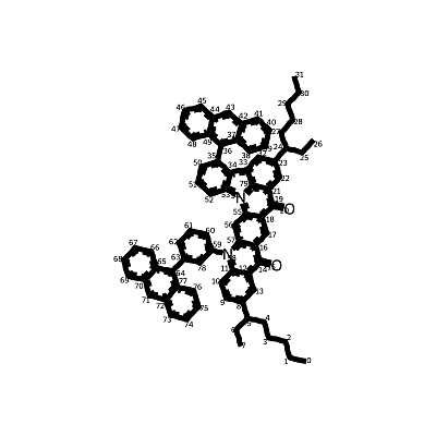 CCCCCC(CC)c1ccc2c(c1)c(=O)c1cc3c(=O)c4cc(C(CC)CCCCC)cc5c6c(-c7c8ccccc8cc8ccccc78)cccc6n(c3cc1n2-c1cccc(-c2c3ccccc3cc3ccccc23)c1)c45